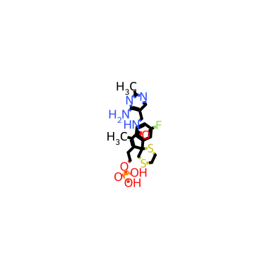 C/C(C(=O)NCc1cnc(C)nc1N)=C(\CCOP(=O)(O)O)C1(c2cccc(F)c2)CSCCS1